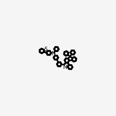 c1ccc(N(c2ccc(-c3cccc(-c4nc5ccccc5c5c6c(ccc45)C(c4ccccc4)(c4ccccc4)c4ccccc4-6)c3)cc2)c2ccc3c(c2)sc2ccccc23)cc1